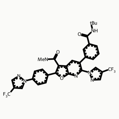 CNC(=O)c1c(-c2ccc(-n3cc(C(F)(F)F)cn3)cc2)oc2nc(-n3cc(C(F)(F)F)cn3)c(-c3cccc(C(=O)NC(C)(C)C)c3)cc12